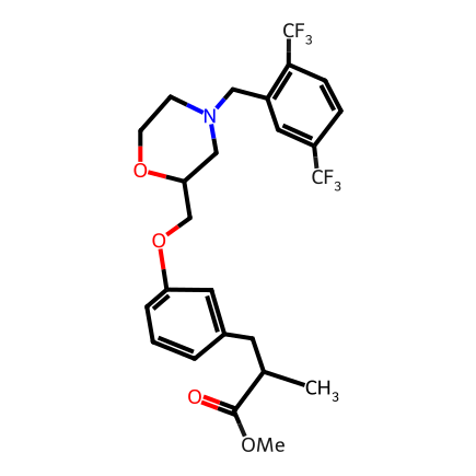 COC(=O)C(C)Cc1cccc(OCC2CN(Cc3cc(C(F)(F)F)ccc3C(F)(F)F)CCO2)c1